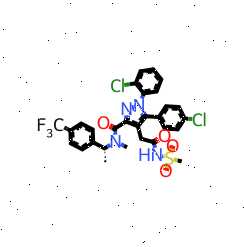 C[C@H](c1ccc(C(F)(F)F)cc1)N(C)C(=O)c1nn(-c2ccccc2Cl)c(-c2ccc(Cl)cc2)c1CC(=O)NS(C)(=O)=O